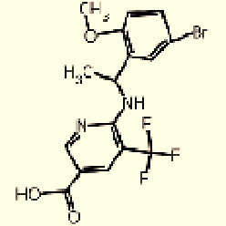 COc1ccc(Br)cc1C(C)Nc1ncc(C(=O)O)cc1C(F)(F)F